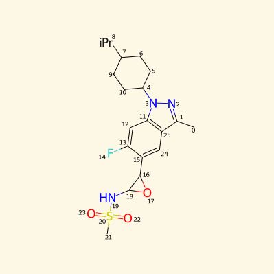 Cc1nn(C2CCC(C(C)C)CC2)c2cc(F)c(C3OC3NS(C)(=O)=O)cc12